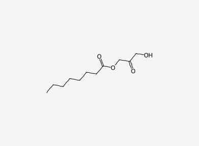 CCCCCCCC(=O)OCC(=O)CO